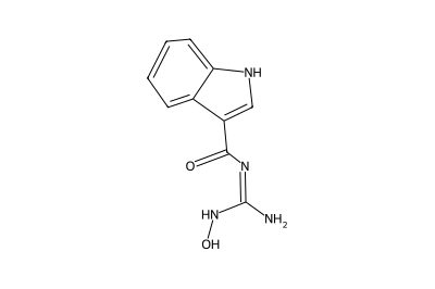 NC(=NC(=O)c1c[nH]c2ccccc12)NO